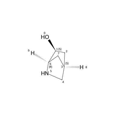 O[C@H]1C[C@H]2CN[C@@H]1C2